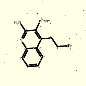 CCCCCc1c(N)nc2ccccc2c1CCC(C)C